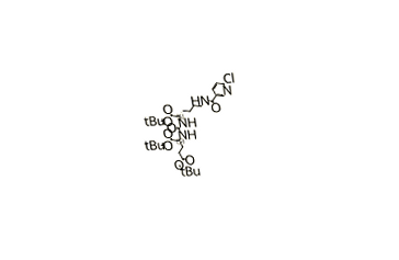 CC(C)(C)OC(=O)CC[C@H](NC(=O)N[C@@H](CCCCNC(=O)c1ccc(Cl)nc1)C(=O)OC(C)(C)C)C(=O)OC(C)(C)C